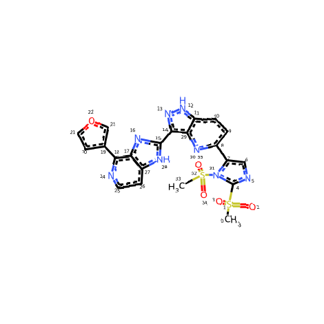 CS(=O)(=O)c1ncc(-c2ccc3[nH]nc(-c4nc5c(-c6ccoc6)nccc5[nH]4)c3n2)n1S(C)(=O)=O